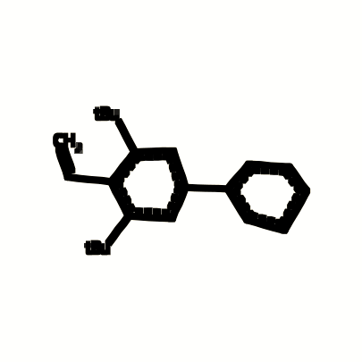 C=Cc1c(C(C)(C)C)cc(-c2ccccc2)cc1C(C)(C)C